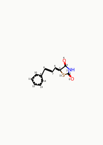 O=C1NC(=O)/C(=C/C=C/c2ccccc2)S1